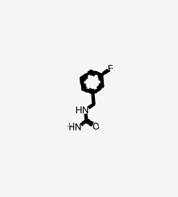 [NH]C(=O)NCc1cccc(F)c1